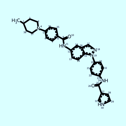 CC1CCN(c2ccc(C(=O)Nc3ccc4c(cnn4-c4ccc(NC(=O)c5cc[nH]c5)cc4)c3)cc2)CC1